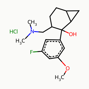 COc1cc(F)cc(C2(O)C(CN(C)C)CCC3CC32)c1.Cl